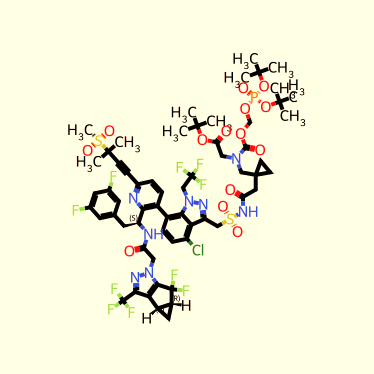 CC(C)(C)OC(=O)CN(CC1(CC(=O)NS(=O)(=O)Cc2nn(CC(F)(F)F)c3c(-c4ccc(C#CC(C)(C)S(C)(=O)=O)nc4[C@H](Cc4cc(F)cc(F)c4)NC(=O)Cn4nc(C(F)(F)F)c5c4C(F)(F)[C@@H]4C[C@H]54)ccc(Cl)c23)CC1)C(=O)OCOP(=O)(OC(C)(C)C)OC(C)(C)C